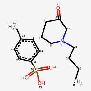 CCCCN1CCCC(=O)C1.Cc1ccc(S(=O)(=O)O)cc1